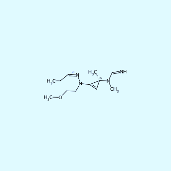 CC/C=N\N(CCOC)C1=C[C@]1(C)N(C)C=N